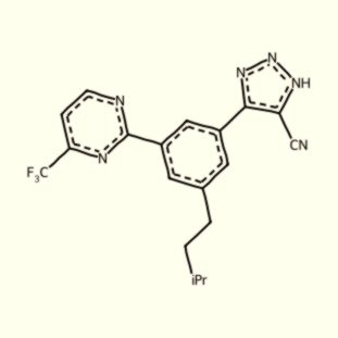 CC(C)CCc1cc(-c2nccc(C(F)(F)F)n2)cc(-c2nn[nH]c2C#N)c1